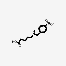 O=C(O)CCCCNCc1ccc([N+](=O)[O-])cc1